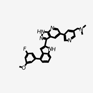 COc1cc(F)cc(-c2cccc3[nH]c(-c4n[nH]c5ncc(-c6cncc(CN(C)C)c6)cc45)cc23)c1